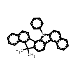 CC1(C)c2ccc3c4c5ccccc5ccc4n(-c4ccccc4)c3c2-c2ccc3ccccc3c21